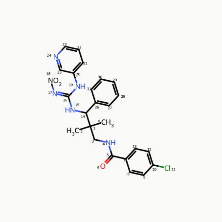 CC(C)(CNC(=O)c1ccc(Cl)cc1)C(NC(=N[N+](=O)[O-])Nc1cccnc1)c1ccccc1